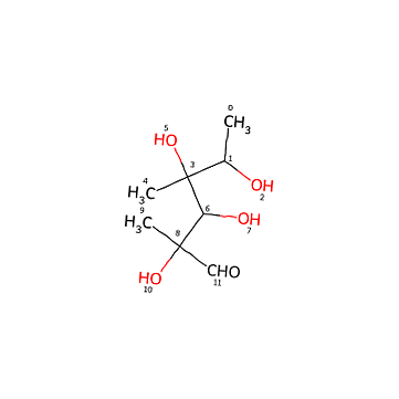 CC(O)C(C)(O)C(O)C(C)(O)C=O